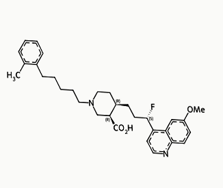 COc1ccc2nccc([C@@H](F)CC[C@@H]3CCN(CCCCCc4ccccc4C)C[C@@H]3C(=O)O)c2c1